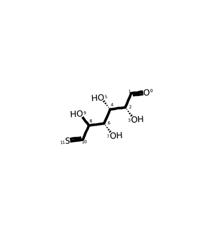 O=C[C@H](O)[C@@H](O)[C@H](O)C(O)C=S